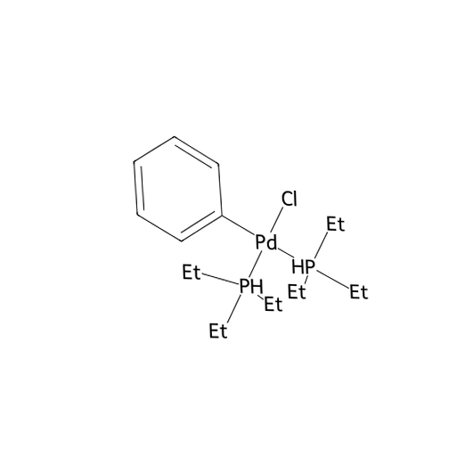 CC[PH](CC)(CC)[Pd]([Cl])([c]1ccccc1)[PH](CC)(CC)CC